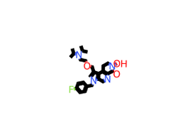 CC(C)N(CCOCc1cn(Cc2ccc(F)cc2)c2cnc3c(c12)CCN(O)C3=O)C(C)C